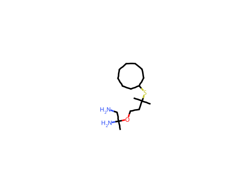 CC(N)(CN)OCCC(C)(C)SC1CCCCCCCC1